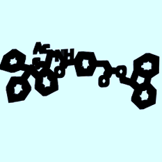 CC(=O)C(CSC(c1ccccc1)(c1ccccc1)c1ccccc1)NC(=O)c1ccc(CC(=O)OCC2c3ccccc3-c3ccccc32)cc1